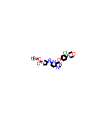 CN(c1ccc2ncnc(Oc3ccc(N4CCOCC4)c(Cl)c3)c2n1)[C@H]1CCN(C(=O)OC(C)(C)C)C1